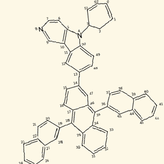 C1=CCC(n2c3ccncc3c3cc(-c4ccc5c(-c6ccc7ccccc7c6)c6ccccc6c(-c6ccc7ccccc7c6)c5c4)ccc32)C=C1